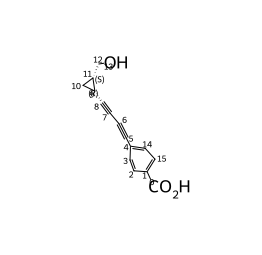 O=C(O)c1ccc(C#CC#C[C@@H]2C[C@@H]2CO)cc1